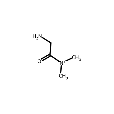 C[N+](C)C(=O)CN